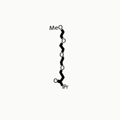 COCCOCCOCCOCCC(=O)C(C)C